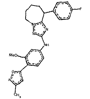 COc1cc(Nc2nc3n(n2)CCCCC3c2ccc(F)cc2)ccc1-c1cc(C)no1